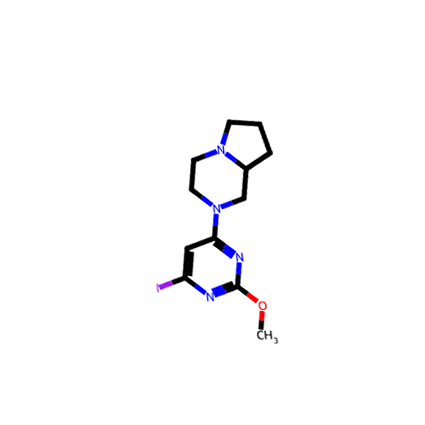 COc1nc(I)cc(N2CCN3CCCC3C2)n1